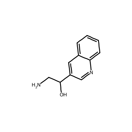 NCC(O)c1cnc2ccccc2c1